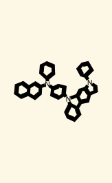 c1ccc(N(c2ccc(-n3c4ccccc4c4cc5ccn(-c6ccccc6)c5cc43)cc2)c2ccc3ccccc3c2)cc1